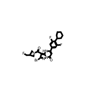 O=C(c1c(Br)nn2c(=O)cc(-c3cc(F)c(C4CCCCC4)c(F)c3)[nH]c12)N1CC(CF)C1